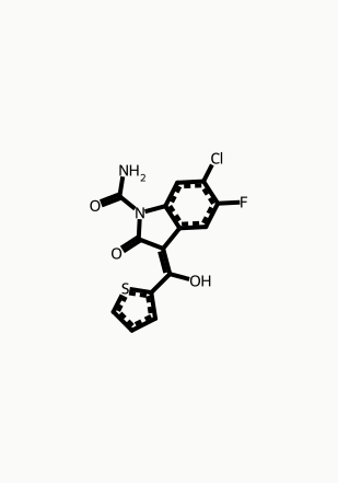 NC(=O)N1C(=O)C(=C(O)c2cccs2)c2cc(F)c(Cl)cc21